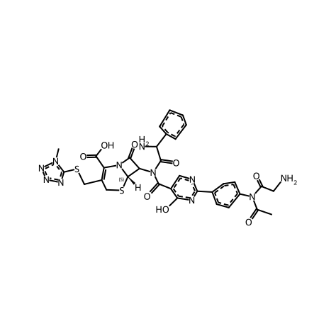 CC(=O)N(C(=O)CN)c1ccc(-c2ncc(C(=O)N(C(=O)C(N)c3ccccc3)C3C(=O)N4C(C(=O)O)=C(CSc5nnnn5C)CS[C@@H]34)c(O)n2)cc1